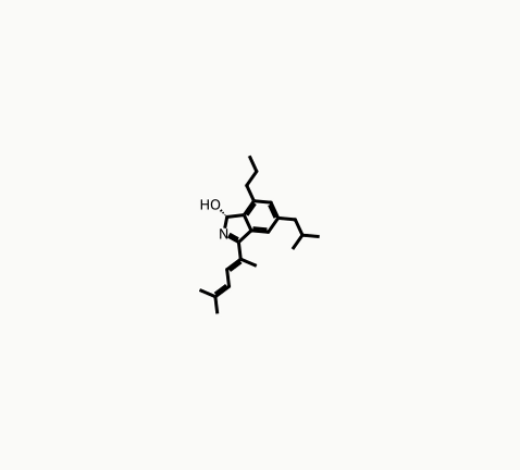 CCCc1cc(CC(C)C)cc2c1[C@@H](O)N=C2/C(C)=C/C=C(C)C